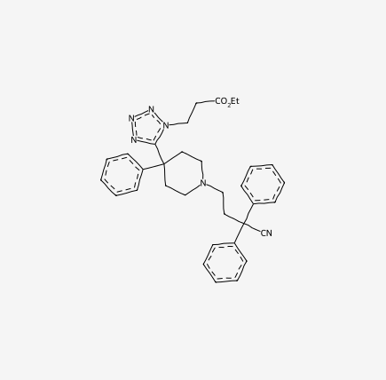 CCOC(=O)CCn1nnnc1C1(c2ccccc2)CCN(CCC(C#N)(c2ccccc2)c2ccccc2)CC1